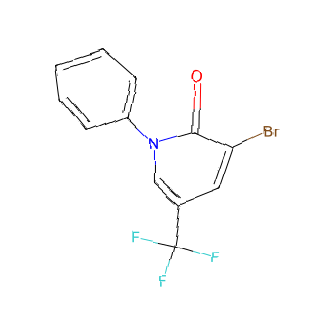 O=c1c(Br)cc(C(F)(F)F)cn1-c1ccccc1